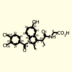 Cc1c([C@H](C)C(=O)NCC(=O)O)c2cc(O)ccc2n1C(=O)c1ccc(Cl)c(Cl)c1